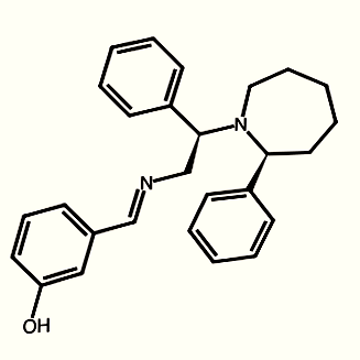 Oc1cccc(/C=N/C[C@@H](c2ccccc2)N2CCCCC[C@H]2c2ccccc2)c1